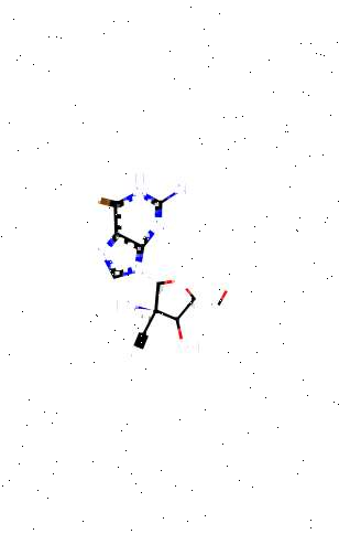 C#C[C@@]1(N)C(O)[C@@H](CO)O[C@H]1n1cnc2c(=S)[nH]c(N)nc21